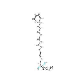 O=C(O)C(F)(F)CCCCCCCCCCCCCCc1ccccc1